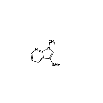 CSc1cn(C)c2ncccc12